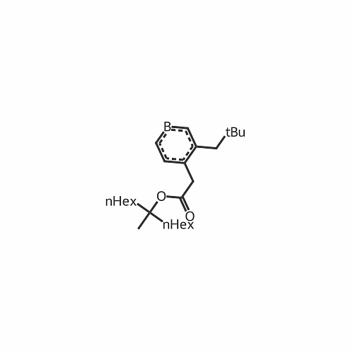 CCCCCCC(C)(CCCCCC)OC(=O)Cc1ccbcc1CC(C)(C)C